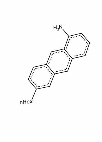 CCCCCCc1ccc2cc3c(N)cccc3cc2c1